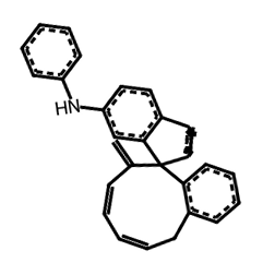 C=C1/C=C\C=C/Cc2ccccc2C12c1ccccc1-c1ccc(Nc3ccccc3)cc12